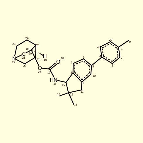 Cc1ccc(-c2ccc3c(c2)CC(C)(C)C3NC(=O)O[C@H]2CN3CCC2CC3)cc1